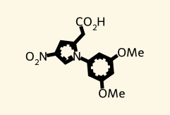 COc1cc(OC)cc(-n2cc([N+](=O)[O-])cc2CC(=O)O)c1